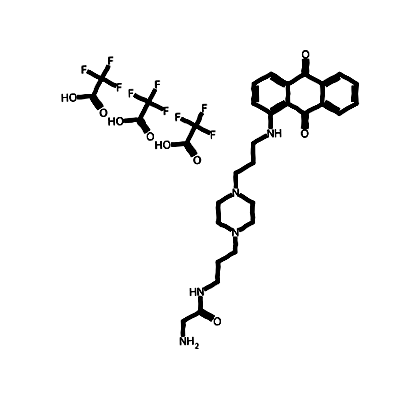 NCC(=O)NCCCN1CCN(CCCNc2cccc3c2C(=O)c2ccccc2C3=O)CC1.O=C(O)C(F)(F)F.O=C(O)C(F)(F)F.O=C(O)C(F)(F)F